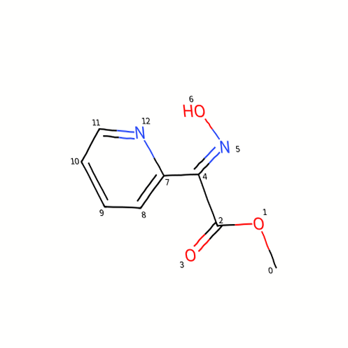 COC(=O)/C(=N/O)c1ccccn1